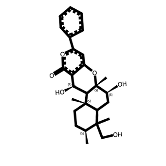 C[C@H]1CC[C@@]2(C)C(C[C@H](O)[C@@]3(C)Oc4cc(-c5ccccc5)oc(=O)c4[C@H](O)C23)C1(C)CO